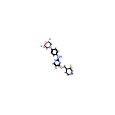 C[C@@H]1CN(c2ccc(Nc3ncc(F)c(OCC4CCNCC4F)n3)cc2)C[C@H](C)O1